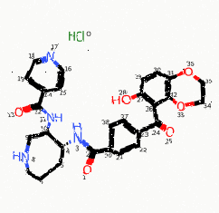 Cl.O=C(N[C@@H]1CCCNC[C@H]1NC(=O)c1ccncc1)c1ccc(C(=O)c2c(O)ccc3c2OCCO3)cc1